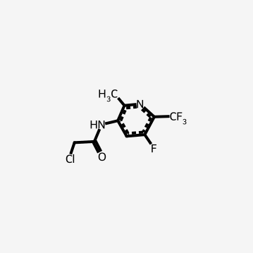 Cc1nc(C(F)(F)F)c(F)cc1NC(=O)CCl